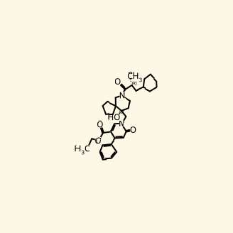 CCOC(=O)c1cn(C[C@]2(O)CCN(C(=O)[C@H](C)CC3CCCCC3)CC23CCCC3)c(=O)cc1-c1ccccc1